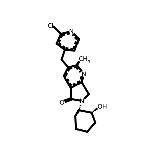 Cc1nc2c(cc1Cc1ccnc(Cl)c1)C(=O)N([C@H]1CCCC[C@@H]1O)C2